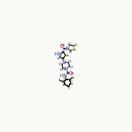 Cc1cccc(C)c1NC(=O)N1CCN([C@@H]2CN[C@H](C(=O)N3CCSC3)C2)CC1